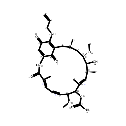 C=CCNC1=C2C[C@@H](C)C[C@H](OC)C(O)[C@@H](C)/C=C(\C)C(OC(N)=O)C(OC)/C=C\C=C(/C)C(=O)NC(=CC1=O)C2=O